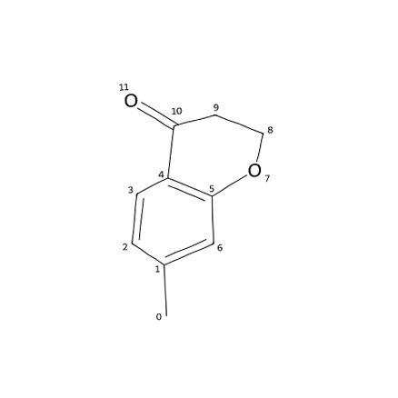 Cc1ccc2c(c1)OCCC2=O